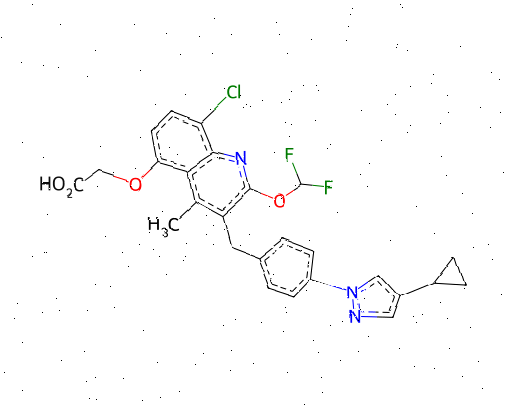 Cc1c(Cc2ccc(-n3cc(C4CC4)cn3)cc2)c(OC(F)F)nc2c(Cl)ccc(OCC(=O)O)c12